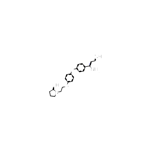 C=C1CCCN1CCOc1ccc(Oc2ccc(/C(N)=C/C=N)cc2)cc1